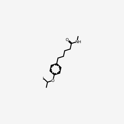 CNC(=O)CCCCc1ccc(OC(C)I)cc1